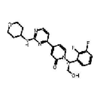 O=c1cc(-c2ccnc(NC3CCOCC3)n2)ccn1[C@H](CO)c1cccc(F)c1F